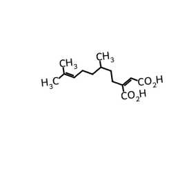 CC(C)=CCCC(C)CC/C(=C/C(=O)O)C(=O)O